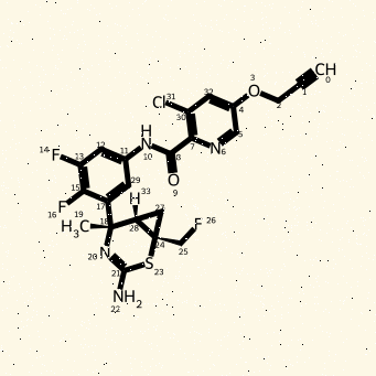 C#CCOc1cnc(C(=O)Nc2cc(F)c(F)c([C@@]3(C)N=C(N)S[C@@]4(CF)C[C@H]43)c2)c(Cl)c1